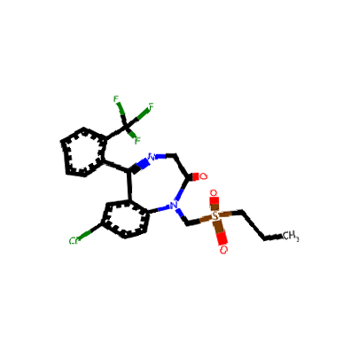 CCCS(=O)(=O)CN1C(=O)CN=C(c2ccccc2C(F)(F)F)c2cc(Cl)ccc21